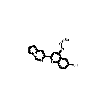 CC(C)(C)ON=c1cc(-c2cc3cccn3cn2)oc2ccc(O)cc12